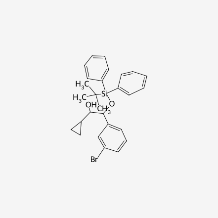 CC(C)(C)[Si](OC(c1cccc(Br)c1)C(O)C1CC1)(c1ccccc1)c1ccccc1